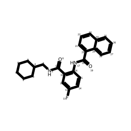 O=C(NCC1CCCCC1)c1cc(F)ccc1NC(=O)c1cccc2ccccc12